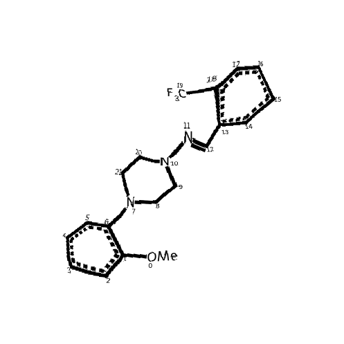 COc1ccccc1N1CCN(N=Cc2ccccc2C(F)(F)F)CC1